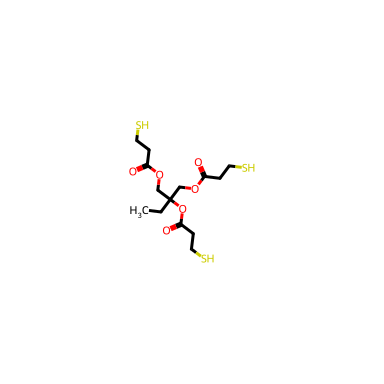 CCC(COC(=O)CCS)(COC(=O)CCS)OC(=O)CCS